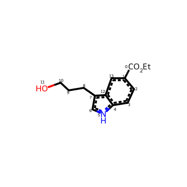 CCOC(=O)c1ccc2[nH]cc(CCCO)c2c1